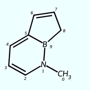 CN1C=CC=C2C=CCB21